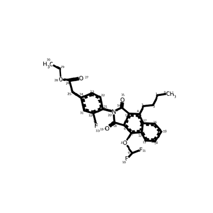 CCCCc1c2c(c(OC(F)F)c3ccccc13)C(=O)N(c1ccc(CC(=O)OCC)cc1F)C2=O